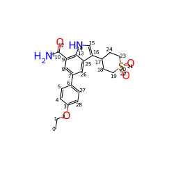 CCOc1ccc(-c2cc(C(N)=O)c3[nH]cc(C4CCS(=O)(=O)CC4)c3c2)cc1